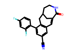 N#Cc1cc2c(c(-c3ccc(F)cc3F)c1)CC1CCNC(=O)C(=C2)C1